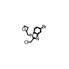 ClCc1nc2cc(Br)ccc2n1CC1CCO1